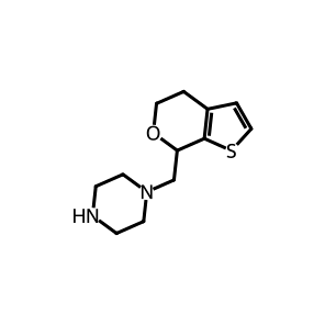 c1cc2c(s1)C(CN1CCNCC1)OCC2